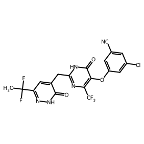 CC(F)(F)c1cc(Cc2nc(C(F)(F)F)c(Oc3cc(Cl)cc(C#N)c3)c(=O)[nH]2)c(=O)[nH]n1